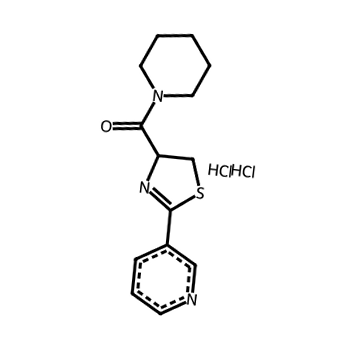 Cl.Cl.O=C(C1CSC(c2cccnc2)=N1)N1CCCCC1